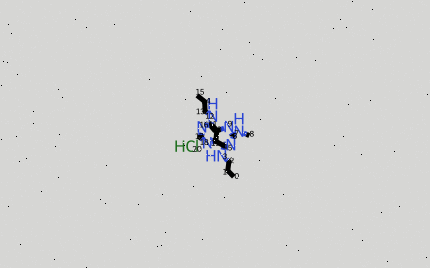 CCCNc1nc(NC)nc2c(NCCC)ncnc12.Cl